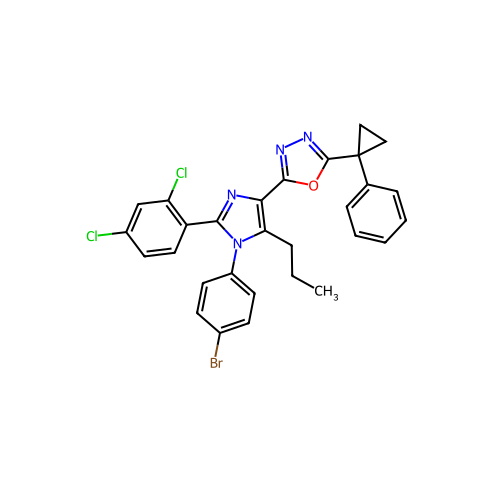 CCCc1c(-c2nnc(C3(c4ccccc4)CC3)o2)nc(-c2ccc(Cl)cc2Cl)n1-c1ccc(Br)cc1